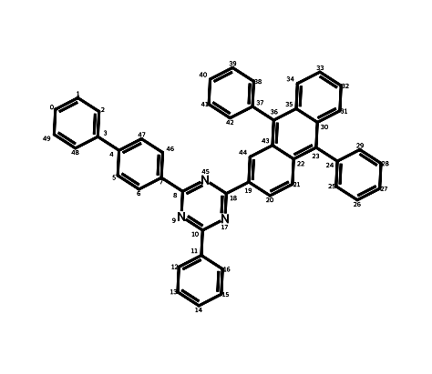 c1ccc(-c2ccc(-c3nc(-c4ccccc4)nc(-c4ccc5c(-c6ccccc6)c6ccccc6c(-c6ccccc6)c5c4)n3)cc2)cc1